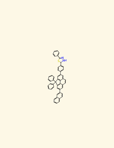 c1ccc(C2=NNC(c3ccc(-c4cc5c6c(ccc7cc(-c8ccc9ccccc9c8)cc(c76)C5(c5ccccc5)c5ccccc5)c4)cc3)S2)cc1